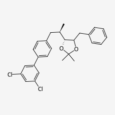 C[C@H](Cc1ccc(-c2cc(Cl)cc(Cl)c2)cc1)[C@H]1OC(C)(C)OC1Cc1ccccc1